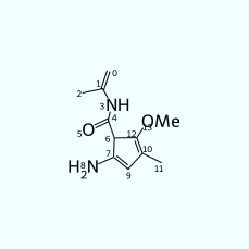 C=C(C)NC(=O)C1C(N)=CC(C)=C1OC